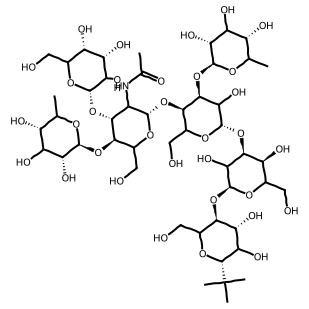 CC(=O)NC1[C@H](O[C@@H]2C(CO)O[C@@H](O[C@@H]3C(O)[C@H](O[C@@H]4C(CO)O[C@@H](C(C)(C)C)C(O)[C@H]4O)OC(CO)[C@@H]3O)C(O)[C@@H]2O[C@@H]2OC(C)[C@@H](O)C(O)[C@H]2O)OC(CO)[C@@H](O[C@@H]2OC(C)[C@@H](O)C(O)[C@H]2O)[C@@H]1O[C@@H]1OC(CO)[C@H](O)[C@H](O)C1O